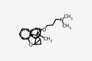 Cc1ccccc1C12CC1C(=NOCCCN(C)C)c1ccccc1O2